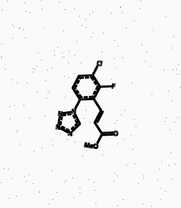 COC(=O)C=Cc1c(-n2cnnn2)ccc(Cl)c1F